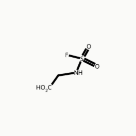 O=C(O)CNS(=O)(=O)F